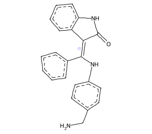 NCc1ccc(N/C(=C2\C(=O)Nc3ccccc32)c2ccccc2)cc1